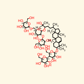 CC(CCC(O[C@@H]1O[C@H](CO[C@@H]2O[C@H](CO)[C@@H](O)[C@H](O)[C@H]2O)[C@@H](O)[C@H](O)[C@H]1O[C@@H]1O[C@H](CO)[C@@H](O)[C@H](O)[C@H]1O)C(C)(C)O)C1CCC2(C)C3CC=C4C(CC[C@H](O[C@@H]5O[C@H](CO)C([C@@H]6O[C@H](CO)[C@@H](O)[C@H](O)C6O)[C@H](O)[C@H]5O)C4(C)C)C3(C)CCC12C